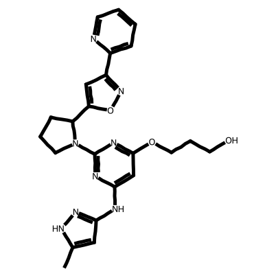 Cc1cc(Nc2cc(OCCCO)nc(N3CCCC3c3cc(-c4ccccn4)no3)n2)n[nH]1